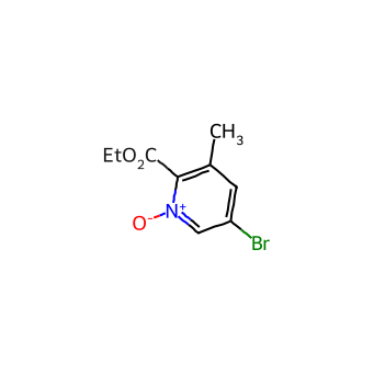 CCOC(=O)c1c(C)cc(Br)c[n+]1[O-]